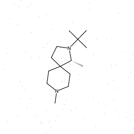 C[C@H]1N(C(C)(C)C)CCC12CCN(C)CC2